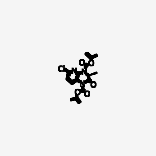 C=C(C)OC(=O)N1C(=O)[C@H](C)N(C(=O)OC(=C)C)c2nc(Cl)ccc21